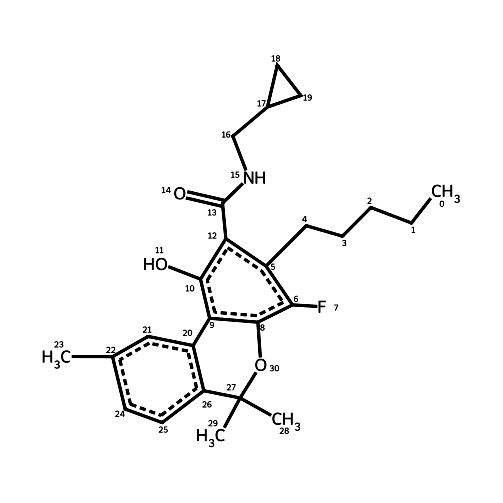 CCCCCc1c(F)c2c(c(O)c1C(=O)NCC1CC1)-c1cc(C)ccc1C(C)(C)O2